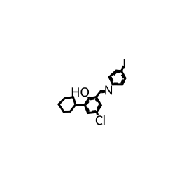 Oc1c(C=Nc2ccc(I)cc2)cc(Cl)cc1C1CCCCC1